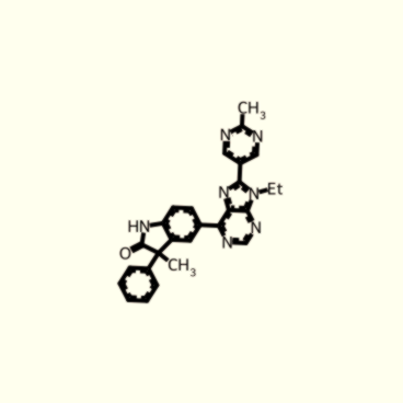 CCn1c(-c2cnc(C)nc2)nc2c(-c3ccc4c(c3)C(C)(c3ccccc3)C(=O)N4)ncnc21